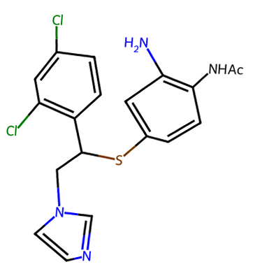 CC(=O)Nc1ccc(SC(Cn2ccnc2)c2ccc(Cl)cc2Cl)cc1N